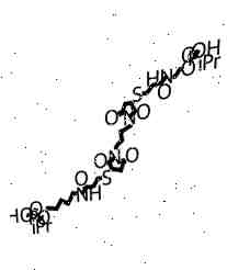 CC(C)P(=O)(O)OCCCCCNC(=O)CCSC1CC(=O)N(CCCCN2C(=O)CC(SCCC(=O)NCCOP(=O)(O)C(C)C)C2=O)C1=O